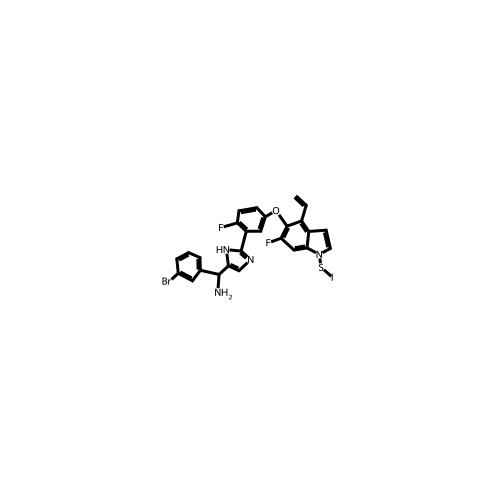 C=Cc1c(Oc2ccc(F)c(-c3ncc(C(N)c4cccc(Br)c4)[nH]3)c2)c(F)cc2c1ccn2SI